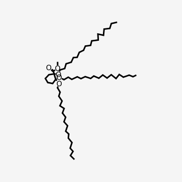 CCCCCCCCCCCCCCCCCCOC1(OCCCCCCCCCCCCCCCCCC)CCCCC1(OCCCCCCCCCCCCCCCCCC)C(=O)OC